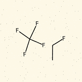 CCF.FC(F)(F)F